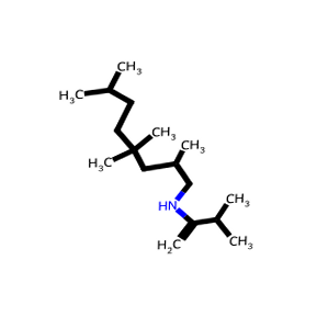 C=C(NCC(C)CC(C)(C)CCC(C)C)C(C)C